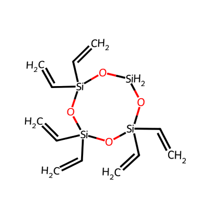 C=C[Si]1(C=C)O[SiH2]O[Si](C=C)(C=C)O[Si](C=C)(C=C)O1